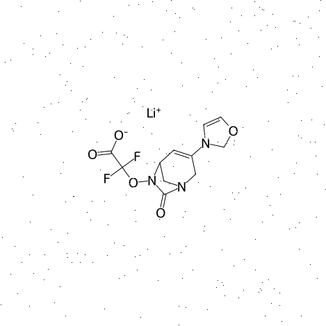 O=C1N2CC(N3C=COC3)=CC(C2)N1OC(F)(F)C(=O)[O-].[Li+]